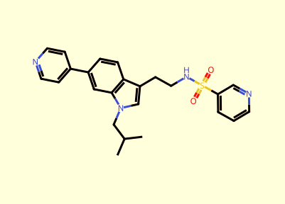 CC(C)Cn1cc(CCNS(=O)(=O)c2cccnc2)c2ccc(-c3ccncc3)cc21